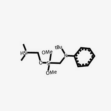 CO[Si](CN(c1ccccc1)C(C)(C)C)(OC)OC[SiH](C)C